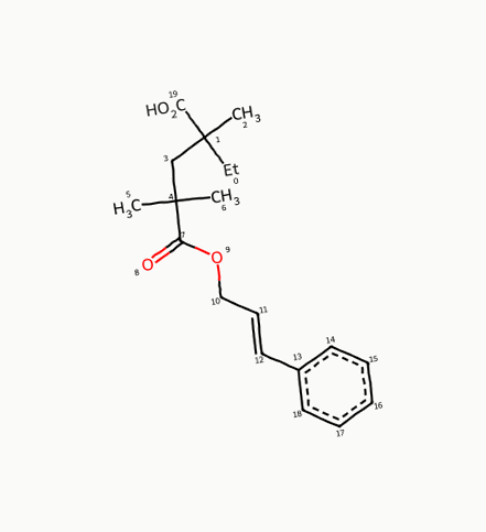 CCC(C)(CC(C)(C)C(=O)OC/C=C/c1ccccc1)C(=O)O